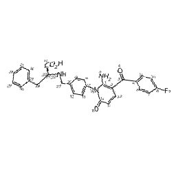 Nc1c(C(=O)c2ccc(F)cc2)ccc(=O)n1-c1ccc(CN[C@@H](Cc2ccccc2)C(=O)O)cc1